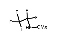 COPC(F)(F)C(F)(F)F